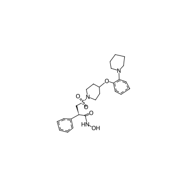 O=C(NO)[C@H](CS(=O)(=O)N1CCC(Oc2ccccc2N2CCCCC2)CC1)c1ccccc1